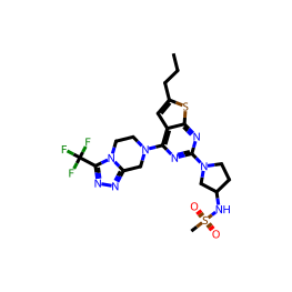 CCCc1cc2c(N3CCn4c(nnc4C(F)(F)F)C3)nc(N3CCC(NS(C)(=O)=O)C3)nc2s1